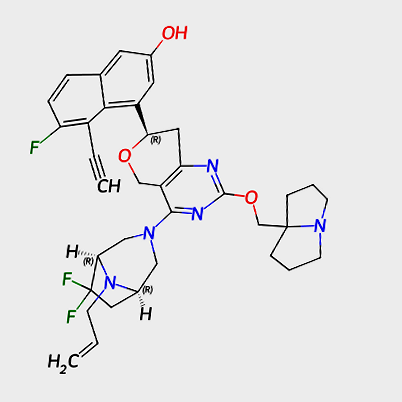 C#Cc1c(F)ccc2cc(O)cc([C@H]3Cc4nc(OCC56CCCN5CCC6)nc(N5C[C@H]6CC(F)(F)[C@@H](C5)N6CC=C)c4CO3)c12